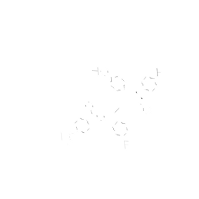 Cc1ccc(C(=O)OCC(=CC[C@H]2C(=O)N(c3ccc(F)cc3)[C@@H]2c2ccc(O)cc2)c2ccc(F)cc2)cc1